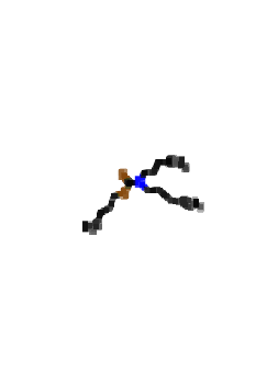 CCCCSC(=S)N(CCCC)CCCC